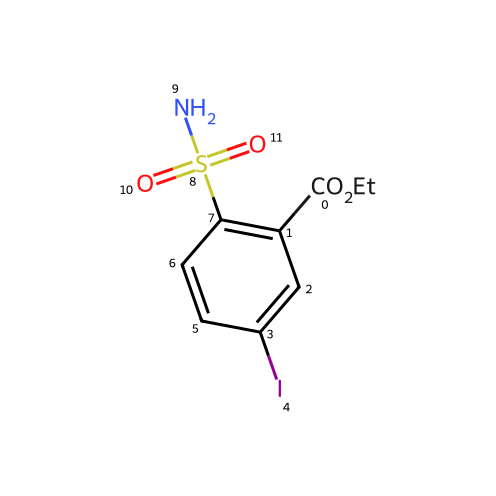 CCOC(=O)c1cc(I)ccc1S(N)(=O)=O